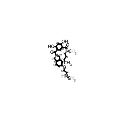 CCCCN(C)C(=O)c1cc(C(=O)N2Cc3ccc(OCCNC)cc3C2)c(O)cc1O